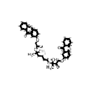 CC(C)(CCCCOC(C)(C)C(=O)COc1ccc2sc3ccccc3c(=O)c2c1)OC(=O)COc1ccc2sc3ccccc3c(=O)c2c1